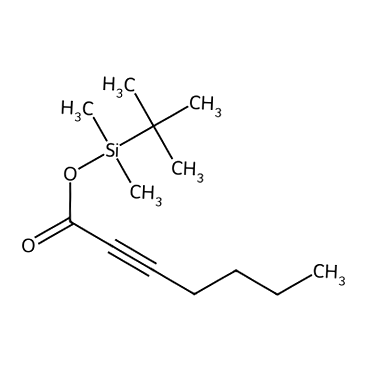 CCCCC#CC(=O)O[Si](C)(C)C(C)(C)C